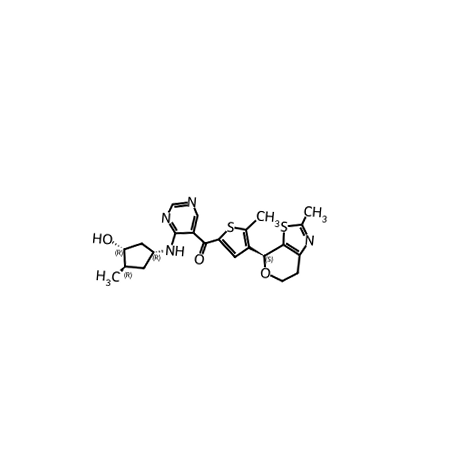 Cc1nc2c(s1)[C@H](c1cc(C(=O)c3cncnc3N[C@@H]3C[C@@H](C)[C@H](O)C3)sc1C)OCC2